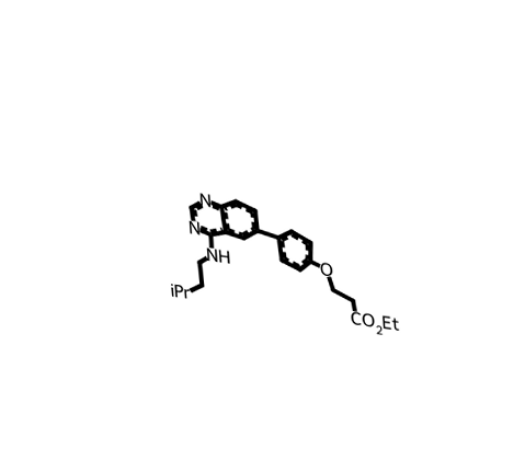 CCOC(=O)CCOc1ccc(-c2ccc3ncnc(NCCC(C)C)c3c2)cc1